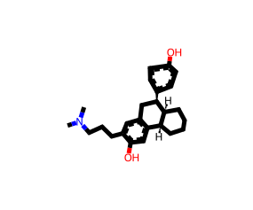 CN(C)CCCc1cc2c(cc1O)[C@@H]1CCCC[C@@H]1[C@H](c1ccc(O)cc1)C2